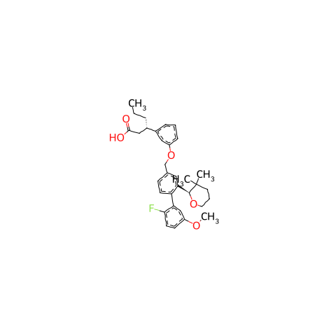 CCC[C@@H](CC(=O)O)c1cccc(OCc2ccc(-c3cc(OC)ccc3F)c([C@@H]3OCCCC3(C)C)c2)c1